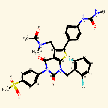 CCNC(=O)Nc1ccc(-c2sc3c(c2CN(C)C(=O)C(F)(F)F)c(=O)n(-c2ccc(S(C)(=O)=O)cc2)c(=O)n3Cc2c(F)cccc2F)cc1